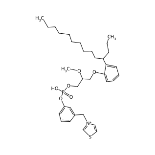 CCCCCCCCCCC(CCC)c1ccccc1OCC(COP(=O)(O)Oc1cccc(C[n+]2ccsc2)c1)OC